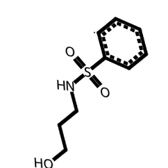 O=S(=O)(NCCCO)c1[c]cccc1